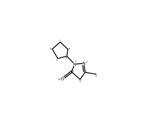 CC1=NN(C2CCCC2)C(=O)C1